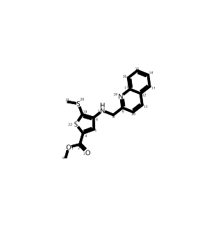 COC(=O)c1cc(NCc2ccc3ccccc3n2)c(SC)s1